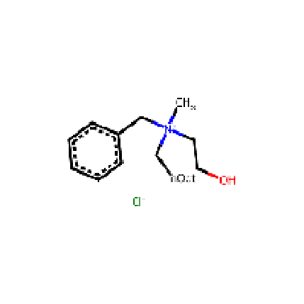 CCCCCCCCC[N+](C)(CCO)Cc1ccccc1.[Cl-]